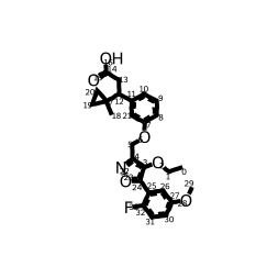 CCOc1c(COc2cccc(C(CC(=O)O)C3(C)CC3)c2)noc1-c1cc(OC)ccc1F